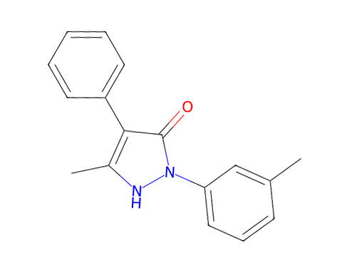 Cc1cccc(-n2[nH]c(C)c(-c3ccccc3)c2=O)c1